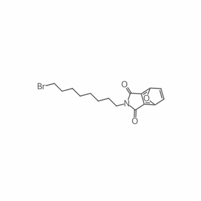 O=C1c2c(c3ccc2o3)C(=O)N1CCCCCCCCBr